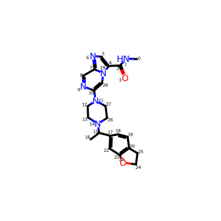 CNC(=O)c1cnc2cnc(N3CCN(C(C)c4ccc5c(c4)OCC5)CC3)cn12